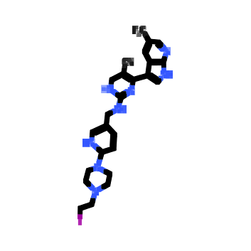 N#CC1=C(c2c[nH]c3ncc(C(F)(F)F)cc23)N=C(NCC2=CNC(N3CCN(CCI)CC3)C=C2)NC1